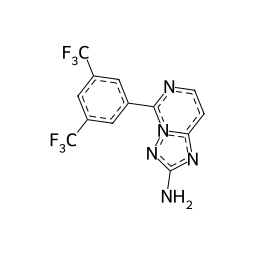 Nc1nc2ccnc(-c3cc(C(F)(F)F)cc(C(F)(F)F)c3)n2n1